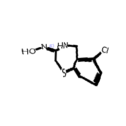 O/N=C1\CSc2cccc(Cl)c2CN1